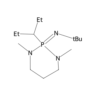 CCC(CC)P1(=NC(C)(C)C)N(C)CCCN1C